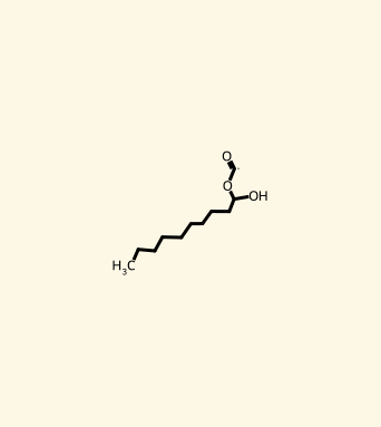 CCCCCCCCCC(O)O[C]=O